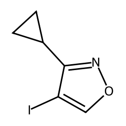 Ic1conc1C1CC1